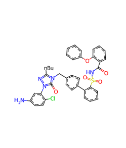 CCCCc1nn(-c2cc(N)ccc2Cl)c(=O)n1Cc1ccc(-c2ccccc2S(=O)(=O)NC(=O)c2ccccc2Oc2ccccc2)cc1